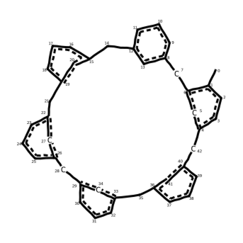 Cc1ccc2cc1Cc1cccc(c1)Cc1cccc(c1)Cc1cccc(c1)Cc1cccc(c1)Cc1cccc(c1)C2